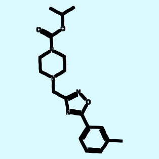 Cc1cccc(-c2nc(CN3CCN(C(=O)OC(C)C)CC3)no2)c1